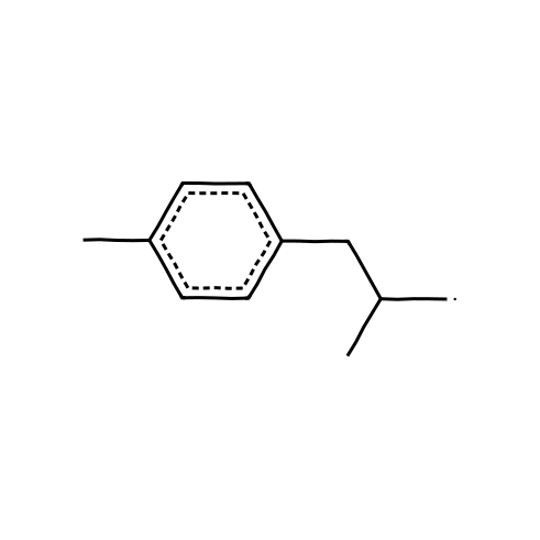 [CH2]C(C)Cc1ccc(C)cc1